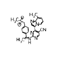 Cc1cccn2c(-c3nc(N[C@@H](C)c4ccc(CS(C)(=O)=O)cc4)ncc3C#N)cnc12